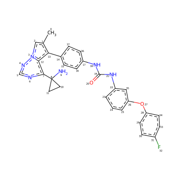 Cc1cn2ncnc(C3(N)CC3)c2c1-c1ccc(NC(=O)Nc2cccc(Oc3ccc(F)cc3)c2)cc1